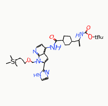 CC(NC(=O)OC(C)(C)C)C1CCC(C(=O)Nc2ccnc3c2cc(-c2ncc[nH]2)n3COCC[Si](C)(C)C)CC1